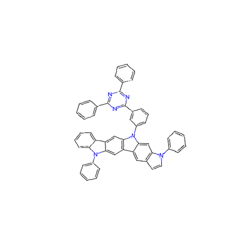 c1ccc(-c2nc(-c3ccccc3)nc(-c3cccc(-n4c5cc6c7ccccc7n(-c7ccccc7)c6cc5c5cc6ccn(-c7ccccc7)c6cc54)c3)n2)cc1